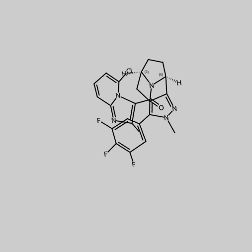 Cc1nc2cccc(Cl)n2c1C(=O)N1[C@@H]2CC[C@H]1c1nn(C)c(-c3cc(F)c(F)c(F)c3)c1C2